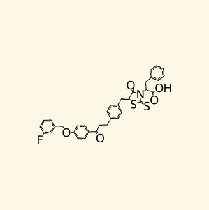 O=C(/C=C/c1ccc(/C=C2\SC(=S)N(C(Cc3ccccc3)C(=O)O)C2=O)cc1)c1ccc(OCc2cccc(F)c2)cc1